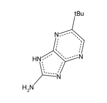 CC(C)(C)c1cnc2nc(N)[nH]c2n1